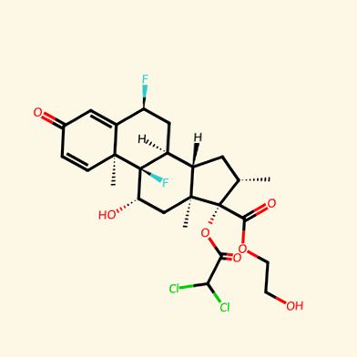 C[C@H]1C[C@H]2[C@@H]3C[C@H](F)C4=CC(=O)C=C[C@]4(C)[C@@]3(F)[C@@H](O)C[C@]2(C)[C@]1(OC(=O)C(Cl)Cl)C(=O)OCCO